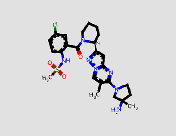 Cc1cn2nc([C@@H]3CCCCN3C(=O)c3cc(Cl)ccc3NS(C)(=O)=O)cc2nc1N1CCC(C)(N)C1